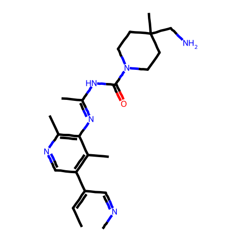 C/C=C(\C=N/C)c1cnc(C)c(/N=C(\C)NC(=O)N2CCC(C)(CN)CC2)c1C